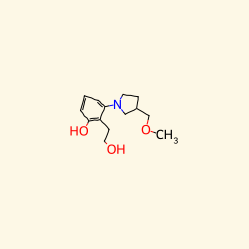 COCC1CCN(c2cccc(O)c2CCO)C1